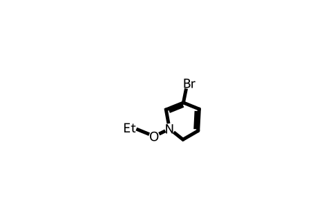 CCON1C=C(Br)C=CC1